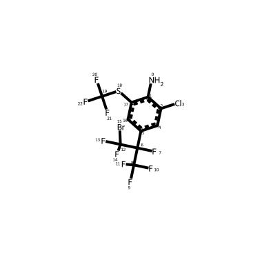 Nc1c(Cl)cc(C(F)(C(F)(F)F)C(F)(F)Br)cc1SC(F)(F)F